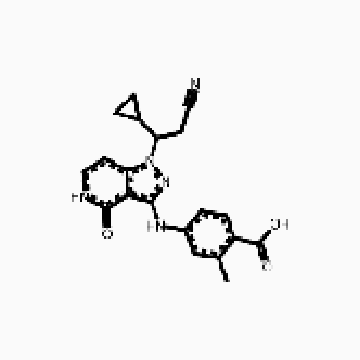 Cc1cc(Nc2nn(C(CC#N)C3CC3)c3cc[nH]c(=O)c23)ccc1C(=O)O